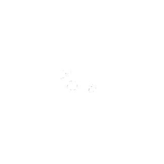 CCCNC(=O)c1ccc(Cc2onc3c2C(=O)CC(C)(C)C3)cc1